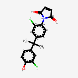 CC(C)(c1ccc(O)c(Cl)c1)c1ccc(N2C(=O)C=CC2=O)c(Cl)c1